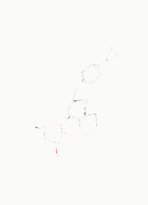 OC[C@H]1O[C@@H](c2cc(Cc3ccc(C4CC4)cc3)c(Cl)c3c2OCCC3)[C@H](O)[C@@H](O)[C@@H]1O